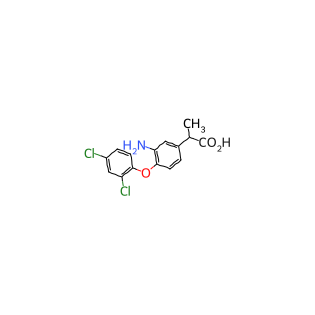 CC(C(=O)O)c1ccc(Oc2ccc(Cl)cc2Cl)c(N)c1